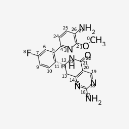 COc1nc(-c2cc(F)ccc2[C@H]2Cc3nc(N)ncc3C(=O)N2)ccc1N